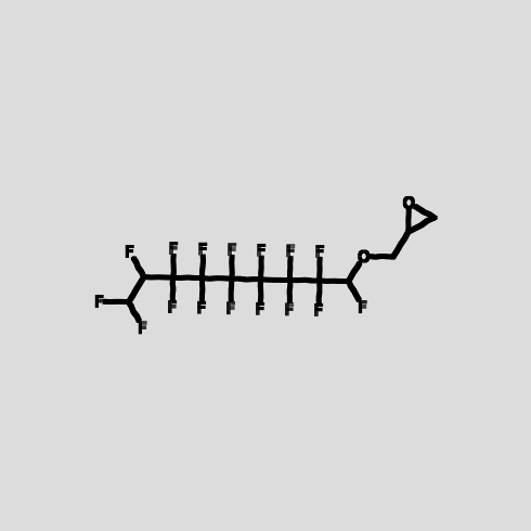 FC(F)C(F)C(F)(F)C(F)(F)C(F)(F)C(F)(F)C(F)(F)C(F)(F)C(F)OCC1CO1